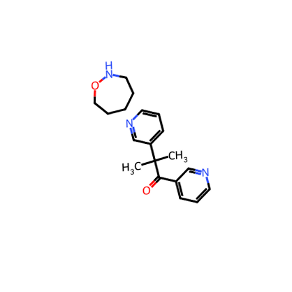 C1CCNOCC1.CC(C)(C(=O)c1cccnc1)c1cccnc1